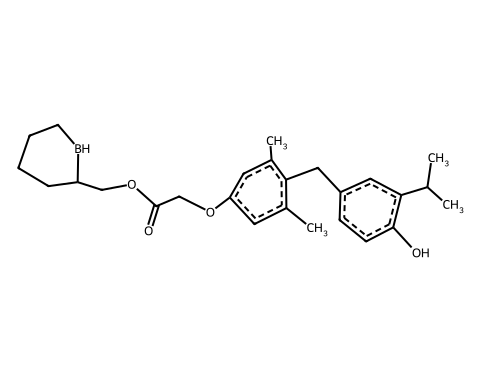 Cc1cc(OCC(=O)OCC2BCCCC2)cc(C)c1Cc1ccc(O)c(C(C)C)c1